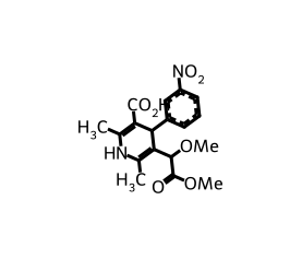 COC(=O)C(OC)C1=C(C)NC(C)=C(C(=O)O)C1c1cccc([N+](=O)[O-])c1